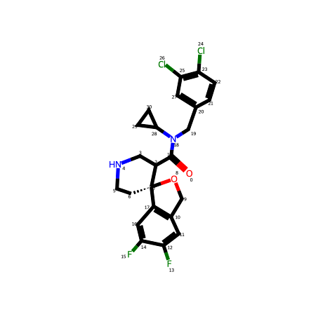 O=C(C1CNCC[C@@]12OCc1cc(F)c(F)cc12)N(Cc1ccc(Cl)c(Cl)c1)C1CC1